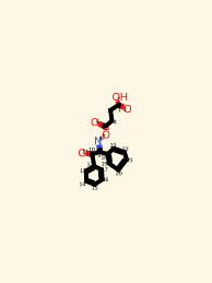 O=C(O)CCC(=O)O/N=C(/C(=O)c1ccccc1)c1ccccc1